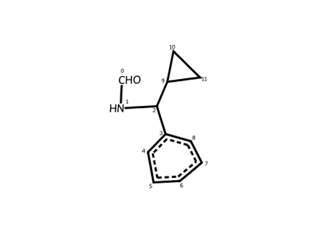 O=CNC(c1ccccc1)C1CC1